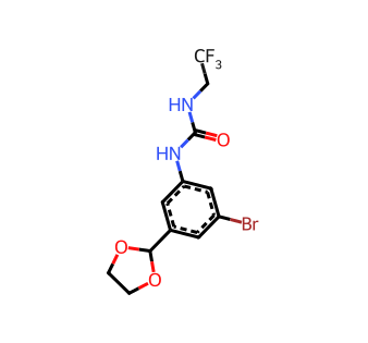 O=C(NCC(F)(F)F)Nc1cc(Br)cc(C2OCCO2)c1